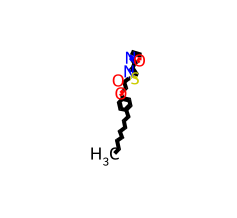 CCCCCCCCc1ccc(OCC(=O)c2nc(-c3ncco3)cs2)cc1